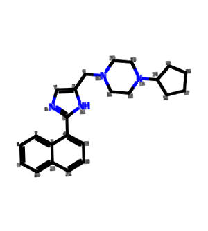 c1ccc2c(-c3ncc(CN4CCN(C5CCCC5)CC4)[nH]3)cccc2c1